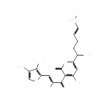 CCCCCCc1csc(C=C(C)C(=O)c2c(O)cc(C(C)CCC=CNC(=O)O)oc2=O)c1C